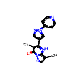 CC(C)c1c(-c2cnn(-c3ccncc3)c2)[nH]c2c(C#N)cnn2c1=O